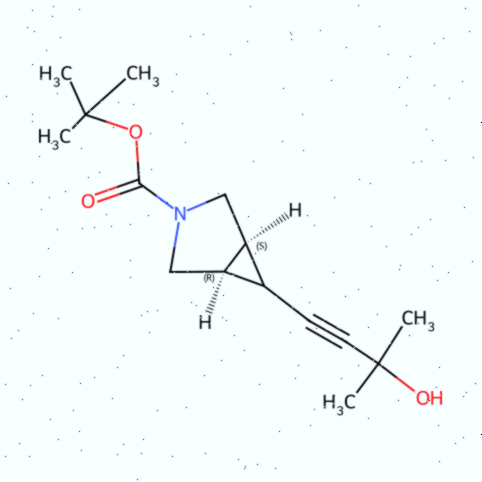 CC(C)(O)C#CC1[C@H]2CN(C(=O)OC(C)(C)C)C[C@@H]12